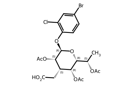 CC(=O)O[C@@H]1[C@@H](Oc2ccc(Br)cc2Cl)O[C@H]([C@H](C)OC(C)=O)[C@H](OC(C)=O)[C@@H]1CC(=O)O